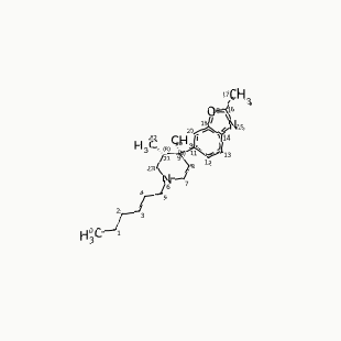 CCCCCCN1CC[C@](C)(c2ccc3nc(C)oc3c2)[C@@H](C)C1